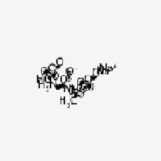 CC(=O)[O-].NCC(N)OS[O-].O=COS(=O)(=O)O.O=COS(=O)(=O)O.[Na+].[Na+]